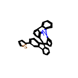 c1csc(-c2ccc3c(c2)-c2ccccc2C32c3ccccc3-n3c4ccccc4c4cccc2c43)c1